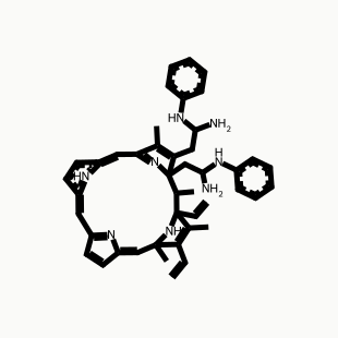 C=CC1=C(C)C2(C=C)NC1(C)C=C1C=CC(=N1)C=c1ccc([nH]1)=CC1=NC(CC(N)Nc3ccccc3)(C(CC(N)Nc3ccccc3)=C1C)C2C